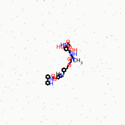 CN(CCNC[C@H](O)c1ccc(O)c2c1OCC(=O)N2)C(=O)CCOCCc1cccc(CN2CC3CC(OC(=O)Nc4ccccc4-c4ccccc4)C[C@@H]3C2)c1